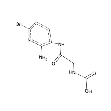 Nc1nc(Br)ccc1NC(=O)CNC(=O)O